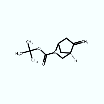 C=C1CC2C[C@@H]1CN2C(=O)OC(C)(C)C